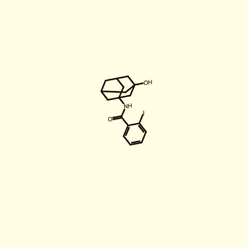 O=C(NC12CC3CC(CC(O)(C3)C1)C2)c1ccccc1I